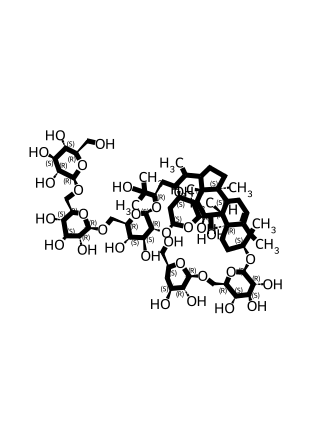 CC(CC[C@@H](O[C@@H]1O[C@H](CO[C@@H]2O[C@H](CO[C@@H]3O[C@H](CO)[C@@H](O)[C@H](O)[C@H]3O)[C@@H](O)[C@H](O)[C@H]2O)[C@@H](O)[C@H](O)[C@H]1O[C@H]1C[C@@H](O)C[C@@H](CO)O1)C(C)(C)O)C1CC[C@@]2(C)[C@@H]3CC=C4[C@@H](CC[C@H](O[C@@H]5O[C@H](CO[C@@H]6O[C@H](CO)C[C@H](O)[C@H]6O)[C@@H](O)[C@H](O)[C@H]5O)C4(C)C)[C@]3(C)[C@H](O)C[C@]12C